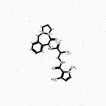 Cc1ccn(C)c1C(=O)NCC(C)C(=O)N[C@@H]1C(=O)N2CCCN2Cc2ccccc21